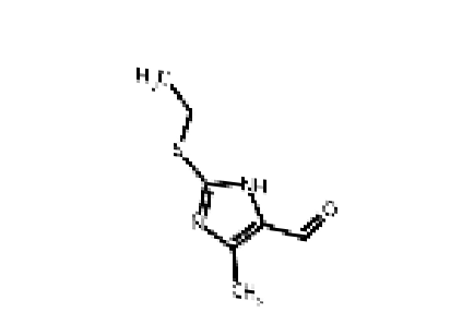 CCSc1nc(C)c(C=O)[nH]1